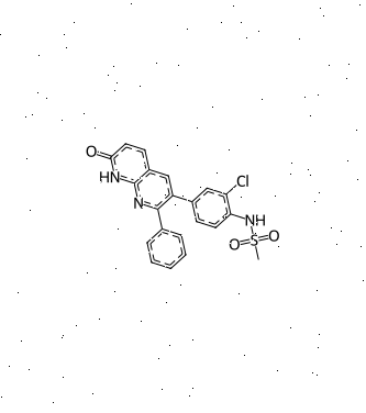 CS(=O)(=O)Nc1ccc(-c2cc3ccc(=O)[nH]c3nc2-c2ccccc2)cc1Cl